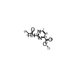 CCC(=O)Nc1nccc(C(=O)OC)n1